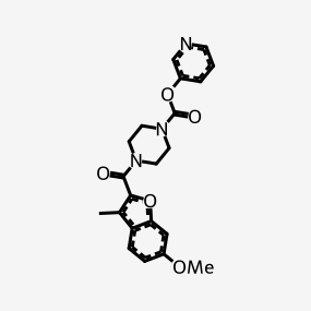 COc1ccc2c(C)c(C(=O)N3CCN(C(=O)Oc4cccnc4)CC3)oc2c1